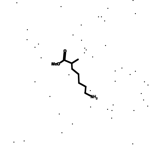 COC(=O)C(C)CCCCCN